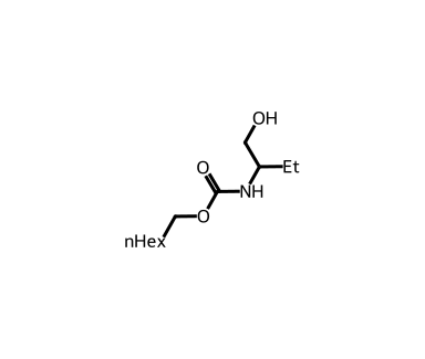 CCCCCCCOC(=O)NC(CC)CO